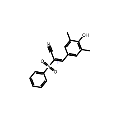 Cc1cc(/C=C(\C#N)S(=O)(=O)c2ccccc2)cc(C)c1O